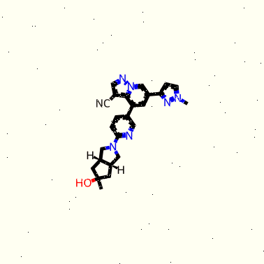 Cn1ccc(-c2cc(-c3ccc(N4C[C@@H]5CC(C)(O)C[C@@H]5C4)nc3)c3c(C#N)cnn3c2)n1